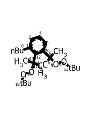 CCCCc1cccc(C(C)(C)OOC(C)(C)C)c1C(C)(C)OOC(C)(C)C